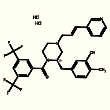 Cc1ccc(C[C@@H]2CN(CC=Cc3cccnc3)CCN2C(=O)c2cc(C(F)(F)F)cc(C(F)(F)F)c2)cc1O.Cl.Cl